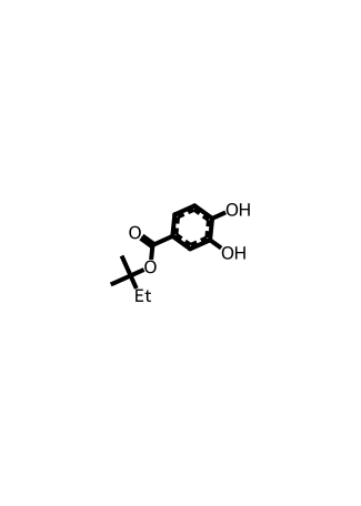 CCC(C)(C)OC(=O)c1ccc(O)c(O)c1